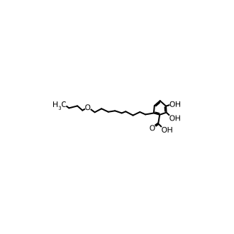 CCCCOCCCCCCCCCc1ccc(O)c(O)c1C(=O)O